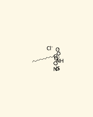 CCCCCCCCCCCCCCOc1cc(OC)ccc1CC(=O)Nc1cccc(-c2scc[n+]2C)c1.[Cl-]